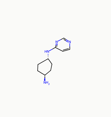 N[C@H]1CC[C@H](Nc2ccncn2)CC1